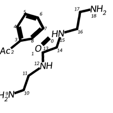 C=O.CC(=O)c1ccccc1.NCCNCCNCCN